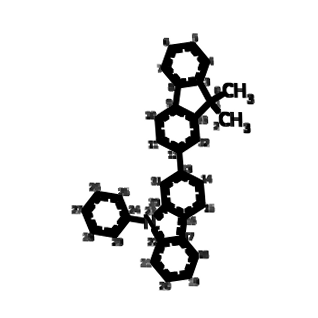 CC1(C)c2ccccc2-c2ccc(-c3ccc4c5ccccc5n(-c5ccccc5)c4c3)cc21